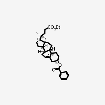 CCOC(=O)CC[C@@H](C)[C@H]1CC[C@H]2[C@@H]3CC=C4C[C@H](OC(=O)c5ccccc5)CC[C@]4(C)[C@H]3CC[C@]12C